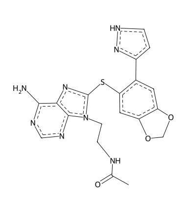 CC(=O)NCCn1c(Sc2cc3c(cc2-c2cc[nH]n2)OCO3)nc2c(N)ncnc21